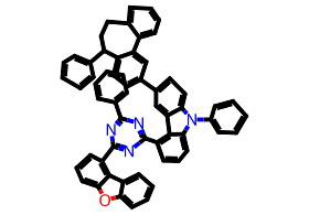 c1ccc(-c2nc(-c3cccc4oc5ccccc5c34)nc(-c3cccc4c3c3cc(-c5ccc6c(c5)-c5ccccc5CCC6c5ccccc5)ccc3n4-c3ccccc3)n2)cc1